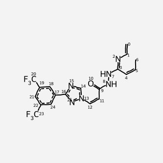 C=C/N=C(\C=C/C)NNC(=O)/C=C\n1cnc(-c2cc(C(F)(F)F)cc(C(F)(F)F)c2)n1